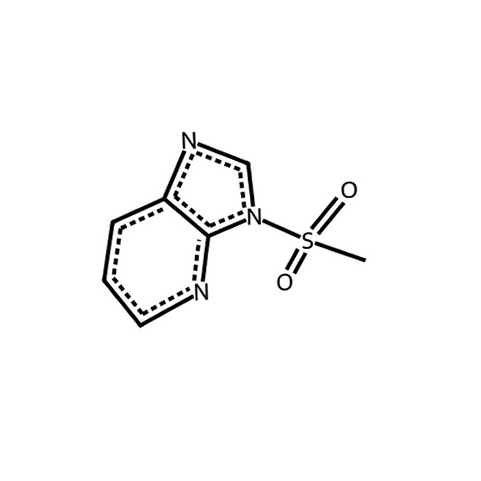 CS(=O)(=O)n1cnc2cccnc21